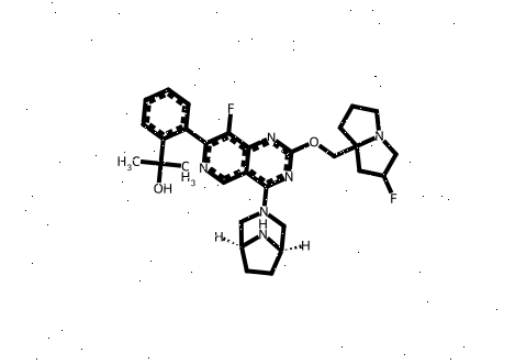 CC(C)(O)c1ccccc1-c1ncc2c(N3C[C@H]4CC[C@@H](C3)N4)nc(OCC34CCCN3CC(F)C4)nc2c1F